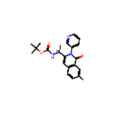 C[C@H](NC(=O)OC(C)(C)C)c1cc2ccc(F)cc2c(=O)n1-c1cccnc1